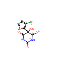 O=C1NC(=O)C(O)(c2sccc2Br)C(=O)N1